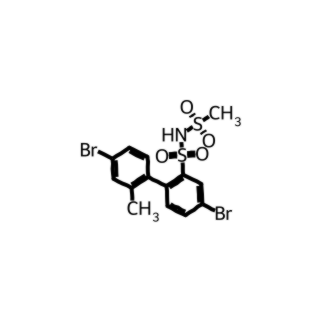 Cc1cc(Br)ccc1-c1ccc(Br)cc1S(=O)(=O)NS(C)(=O)=O